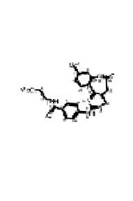 COCCNC(=O)c1ccc(NC2=NCC3CC(=O)Nc4cc(Cl)ccc4C3=N2)cc1